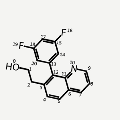 OCCc1ccc2cccnc2c1-c1cc(F)cc(F)c1